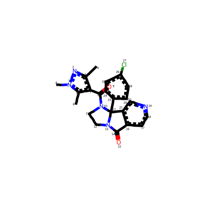 Cc1nn(C)c(C)c1C(=O)N1CCN2C(=O)c3ccncc3C21c1ccc(Cl)cc1